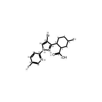 O=C(O)C1CC(F)CCC1c1nn(-c2ccc(F)cn2)cc1Br